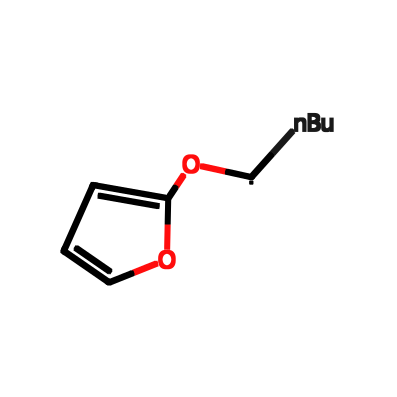 CCCC[CH]Oc1ccco1